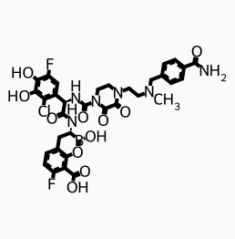 CN(CCN1CCN(C(=O)N[C@@H](C(=O)N[C@H]2Cc3ccc(F)c(C(=O)O)c3OB2O)c2cc(F)c(O)c(O)c2Cl)C(=O)C1=O)Cc1ccc(C(N)=O)cc1